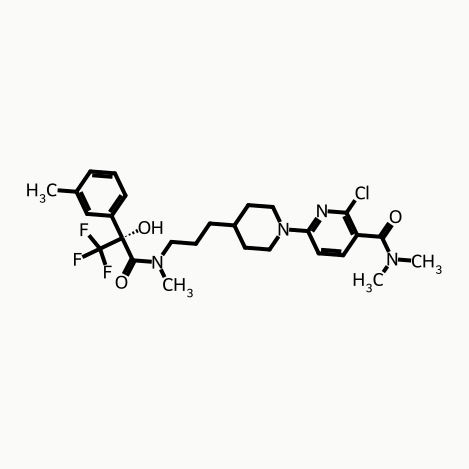 Cc1cccc([C@@](O)(C(=O)N(C)CCCC2CCN(c3ccc(C(=O)N(C)C)c(Cl)n3)CC2)C(F)(F)F)c1